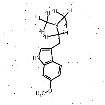 [2H]C([2H])([2H])N(C([2H])([2H])[2H])C([2H])([2H])Cc1c[nH]c2cc(OC)ccc12